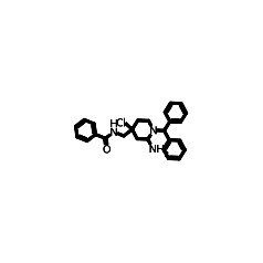 NC1CC(Cl)(CNC(=O)c2ccccc2)CCN1C(c1ccccc1)c1ccccc1